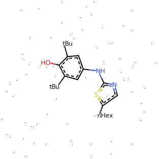 CCCCCCc1cnc(Nc2cc(C(C)(C)C)c(O)c(C(C)(C)C)c2)s1